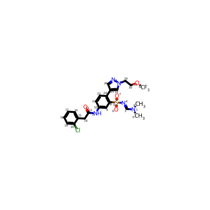 CN(C)/C=N/S(=O)(=O)c1cc(NC(=O)Cc2ccccc2Cl)ccc1-c1cnn(CCOC(F)(F)F)c1